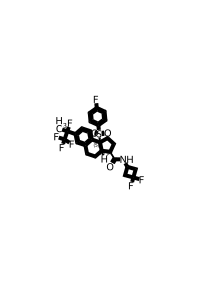 CC(F)(c1ccc2c(c1)CC[C@H]1[C@H](C(=O)NC3CC(F)(F)C3)CC[C@@]21S(=O)(=O)c1ccc(F)cc1)C(F)(F)F